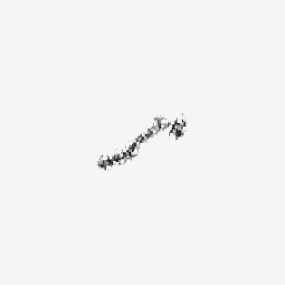 C=C(C)C(=O)OCC(CCOc1ccc(-c2ccc(-c3ccc(/C=C/C(=O)Oc4ccc(OC(=O)c5ccc(OC(=O)C(=C)C)cc5)cc4C)cc3)cc2)cc1C1CC1)COC(=O)C(=C)C